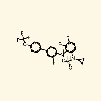 O=[SH](=O)N(c1ccc(F)c(F)c1Nc1ccc(-c2ccc(OC(F)(F)F)cc2)cc1F)C1CC1